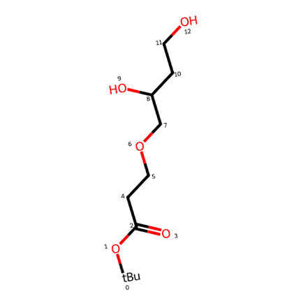 CC(C)(C)OC(=O)CCOCC(O)CCO